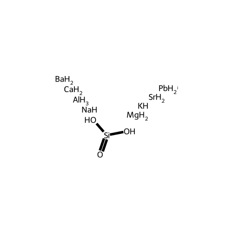 O=[Si](O)O.[AlH3].[BaH2].[CaH2].[KH].[MgH2].[NaH].[PbH2].[SrH2]